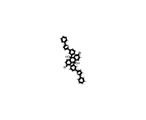 OC1(c2cccc(-c3ccc(-c4ccccc4)s3)c2)c2ccc(Br)cc2C(O)(c2cccc(-c3ccc(-c4ccccc4)s3)c2)c2ccc(Br)cc21